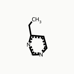 CCc1ccn[c]n1